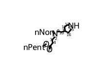 CCCCCCCCCN(CCCC(=O)OCCCCC)CCC1CCNCC1